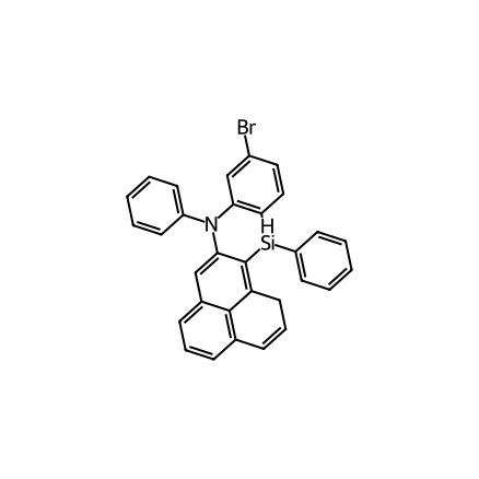 Brc1ccc2c(c1)N(c1ccccc1)c1cc3cccc4c3c(c1[SiH]2c1ccccc1)CC=C4